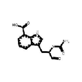 NC(=O)SC(C=O)Cc1c[nH]c2c(C(=O)O)cccc12